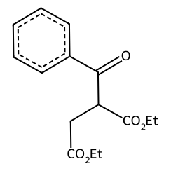 CCOC(=O)CC(C(=O)OCC)C(=O)c1ccccc1